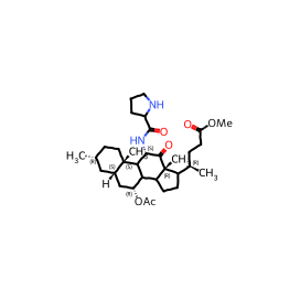 COC(=O)CC[C@@H](C)C1CCC2C3C([C@H](NC(=O)C4CCCN4)C(=O)[C@@]21C)[C@@]1(C)CC[C@@H](C)C[C@H]1C[C@H]3OC(C)=O